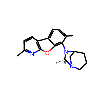 Cc1ccc2c(n1)oc1c(N3C4CCCN(C4)[C@@H]3C)c(C)ccc12